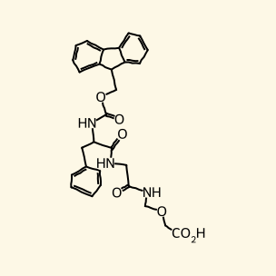 O=C(O)COCNC(=O)CNC(=O)C(Cc1ccccc1)NC(=O)OCC1c2ccccc2-c2ccccc21